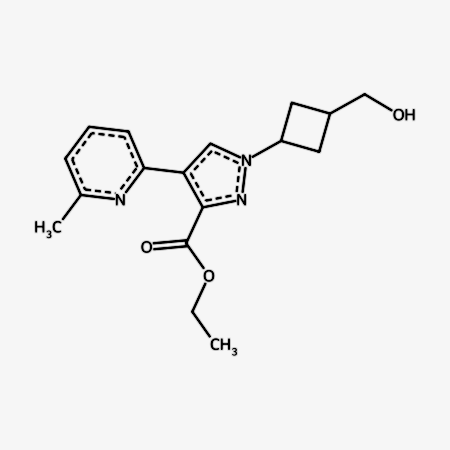 CCOC(=O)c1nn(C2CC(CO)C2)cc1-c1cccc(C)n1